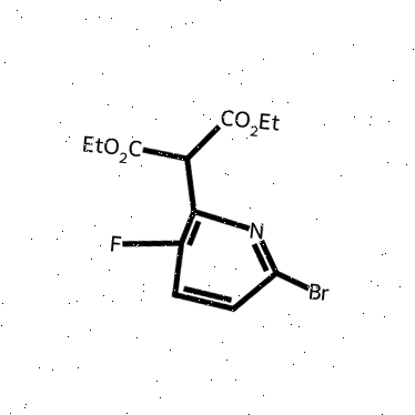 CCOC(=O)C(C(=O)OCC)c1nc(Br)ccc1F